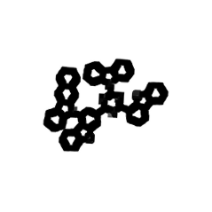 c1ccc2cc3c(cc2c1)c1ccccc1n3-c1cc(-c2nc(-c3cccc4c3oc3ccccc34)nc(-n3c4ccccc4c4ccccc43)n2)cc2oc3ccccc3c12